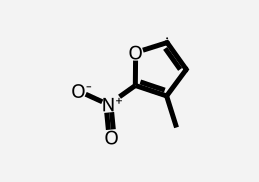 Cc1c[c]oc1[N+](=O)[O-]